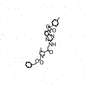 Cc1ccc(S(=O)(=O)n2ccc3nc(NCC(=O)C4CN(C(=O)OCc5ccccc5)C[C@H]4C)cnc32)cc1